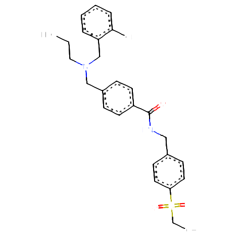 CCCN(Cc1ccc(C(=O)NCc2ccc(S(=O)(=O)CC)cc2)cc1)Cc1ccccc1C